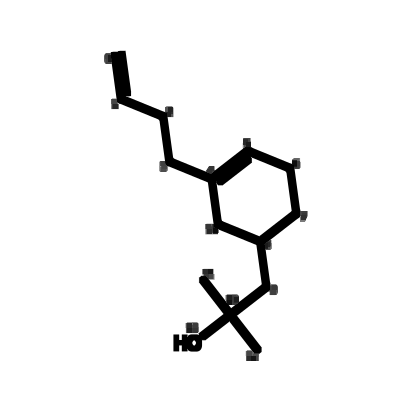 C=CCCC1=CCCC(CC(C)(C)O)C1